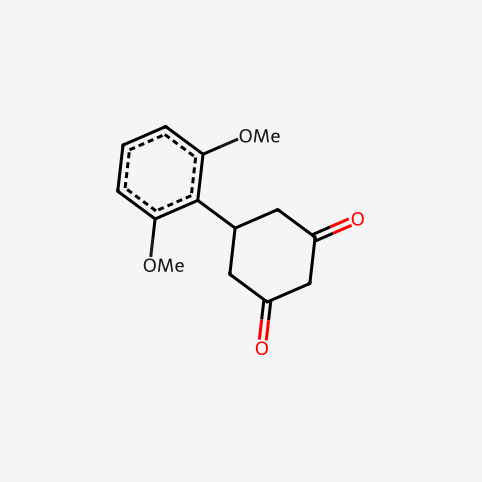 COc1cccc(OC)c1C1CC(=O)CC(=O)C1